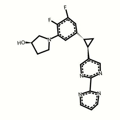 O[C@@H]1CCN(c2cc([C@@H]3C[C@H]3c3cnc(-c4ncccn4)nc3)cc(F)c2F)C1